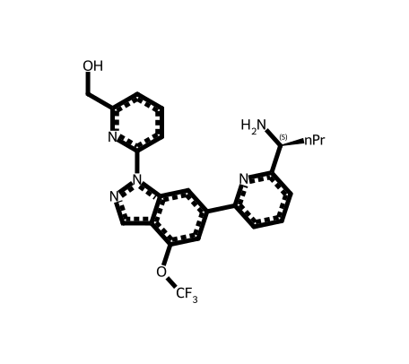 CCC[C@H](N)c1cccc(-c2cc(OC(F)(F)F)c3cnn(-c4cccc(CO)n4)c3c2)n1